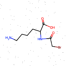 NCCCCC(NC(=O)CBr)C(=O)O